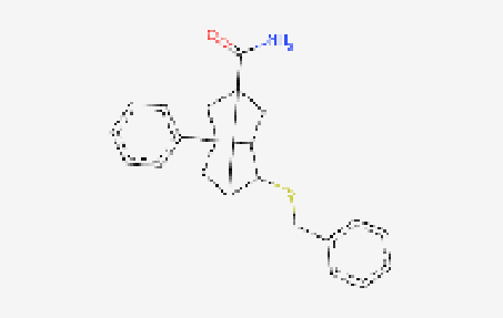 NC(=O)C12CC3C(SCc4ccccc4)C1CC3(c1ccccc1)C2